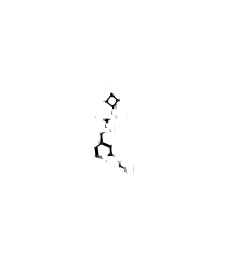 O=C(NCc1ccnc(OCC(F)(F)F)c1)NC1CC(F)C1